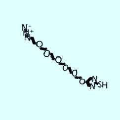 [N-]=[N+]=NCCOCCOCCOCCOCCOCCOc1cnc(S)nc1